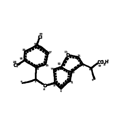 CC(Oc1ccc2c(C(C)C(=O)O)coc2c1)c1ccc(Cl)cc1Cl